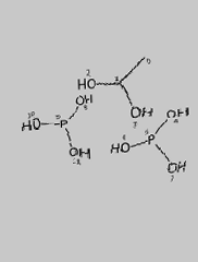 CC(O)O.OP(O)O.OP(O)O